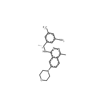 Cc1nnc(N[C@H](C)c2cc(N)cc(C(F)(F)F)c2)c2cc(N3CCOCC3)ccc12